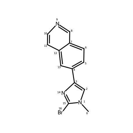 Cn1cc(-c2ccc3cnccc3c2)nc1Br